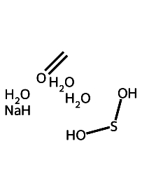 C=O.O.O.O.OSO.[NaH]